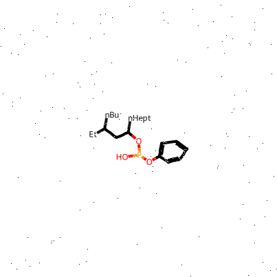 CCCCCCCC(CC(CC)CCCC)OP(O)Oc1ccccc1